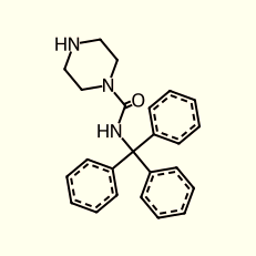 O=C(NC(c1ccccc1)(c1ccccc1)c1ccccc1)N1CCNCC1